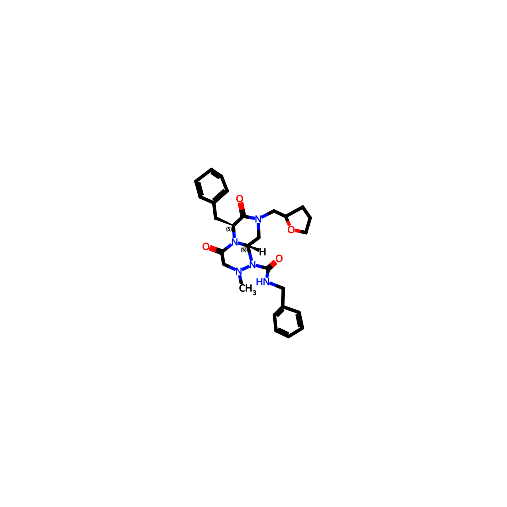 CN1CC(=O)N2[C@@H](Cc3ccccc3)C(=O)N(CC3CCCO3)C[C@@H]2N1C(=O)NCc1ccccc1